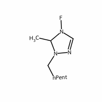 CCCCCCN1N=CN(F)C1C